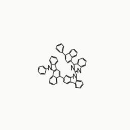 c1ccc(-c2ccc(-c3nc(-n4c5ccccc5c5ccc(-c6cc7c8ccccc8n(-c8ccccc8)c7c7ccccc67)cc54)nc4ccccc34)c3ccccc23)cc1